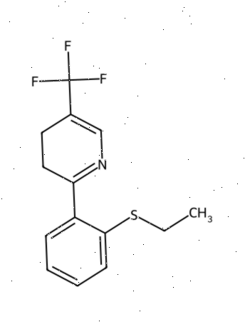 CCSc1ccccc1C1=NC=C(C(F)(F)F)CC1